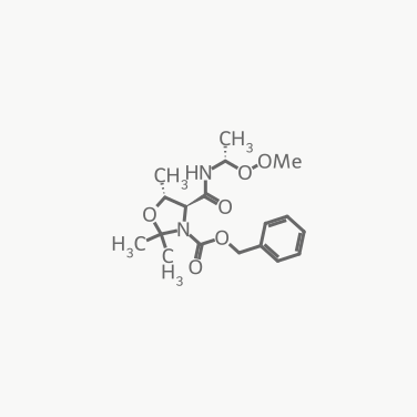 COO[C@@H](C)NC(=O)[C@@H]1[C@@H](C)OC(C)(C)N1C(=O)OCc1ccccc1